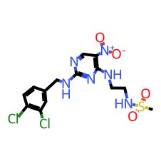 CS(=O)(=O)NCCNc1nc(NCc2ccc(Cl)c(Cl)c2)ncc1[N+](=O)[O-]